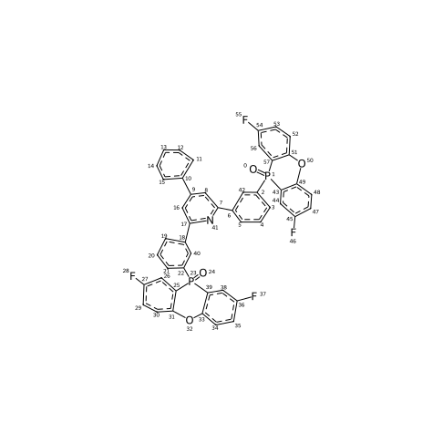 O=P1(c2cccc(-c3cc(-c4ccccc4)cc(-c4cccc(P5(=O)c6cc(F)ccc6Oc6ccc(F)cc65)c4)n3)c2)c2cc(F)ccc2Oc2ccc(F)cc21